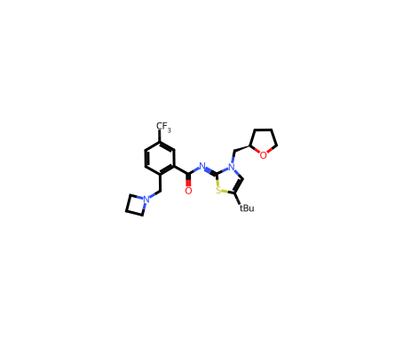 CC(C)(C)c1cn(C[C@H]2CCCO2)c(=NC(=O)c2cc(C(F)(F)F)ccc2CN2CCC2)s1